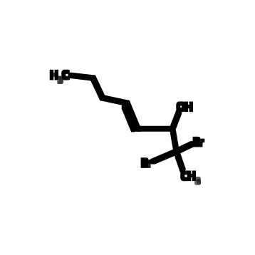 CCCC=CC(O)C(C)(Br)Br